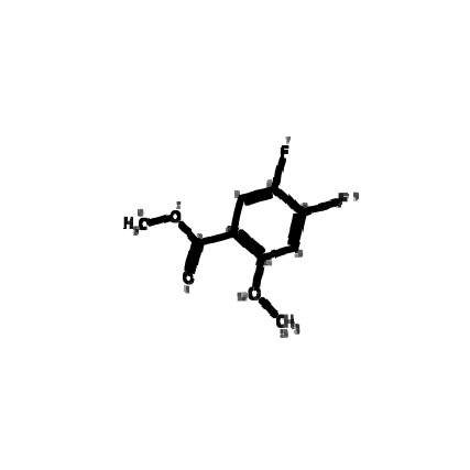 COC(=O)c1cc(F)c(F)cc1OC